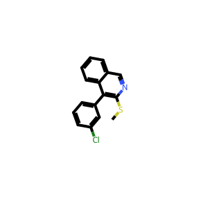 CSc1ncc2ccccc2c1-c1cccc(Cl)c1